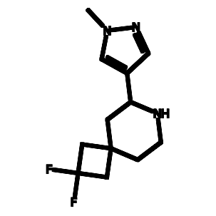 Cn1cc(C2CC3(CCN2)CC(F)(F)C3)cn1